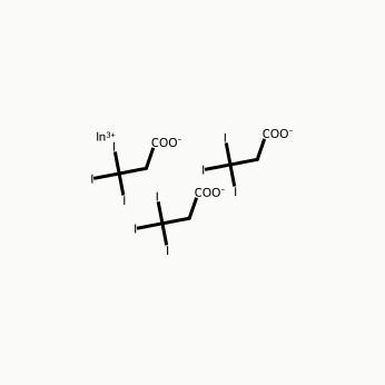 O=C([O-])CC(I)(I)I.O=C([O-])CC(I)(I)I.O=C([O-])CC(I)(I)I.[In+3]